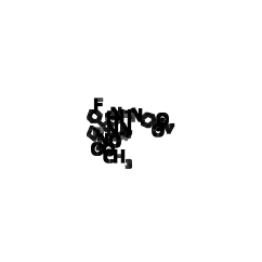 COC(=O)N[C@H]1CCC[C@@H]1C(CNC(=O)[C@@H]1CCN1)(c1cccc(F)c1)C1CCN(CC2CN(c3ccc(S(=O)(=O)C4CC4)cc3)C2)CC1